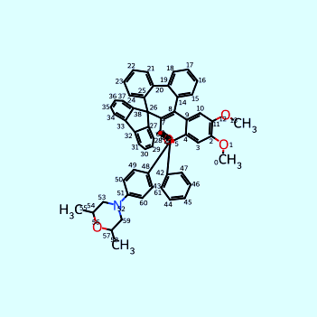 COc1cc2c3c(c4c(c2cc1OC)-c1ccccc1-c1ccccc1C41c2ccccc2-c2ccccc21)C=CC(c1ccccc1)(c1ccc(N2CC(C)OC(C)C2)cc1)O3